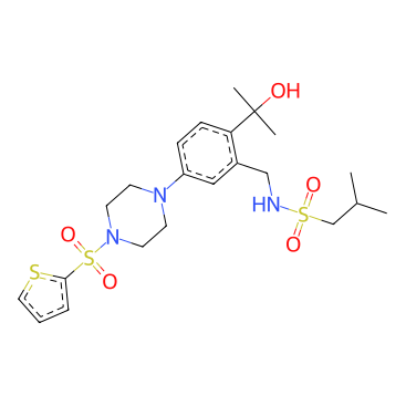 CC(C)CS(=O)(=O)NCc1cc(N2CCN(S(=O)(=O)c3cccs3)CC2)ccc1C(C)(C)O